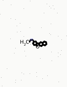 C=C/C=C\c1ccc2oc3cc4ccccc4cc3c2c1